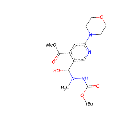 COC(=O)c1cc(N2CCOCC2)ncc1C(O)N(C)NC(=O)OC(C)(C)C